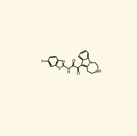 O=C(Nc1nc2ccc(F)cc2s1)C(=O)c1c2n(c3ccccc13)CCNCC2